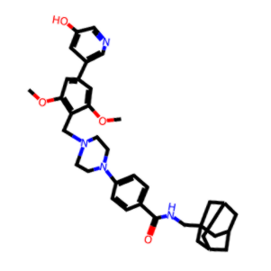 COc1cc(-c2cncc(O)c2)cc(OC)c1CN1CCN(c2ccc(C(=O)NCC34CC5CC(CC(C5)C3)C4)cc2)CC1